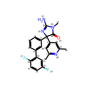 Cc1cc(C2(c3cccc(-c4cc(F)ccc4F)c3)N=C(N)N(C)C2=O)cc(C)n1